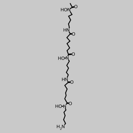 CC(=O)N(O)CCCCCNC(=O)CCCCCC(=O)N(O)CCCCCNC(=O)CCCCCC(=O)N(O)CCCCCN